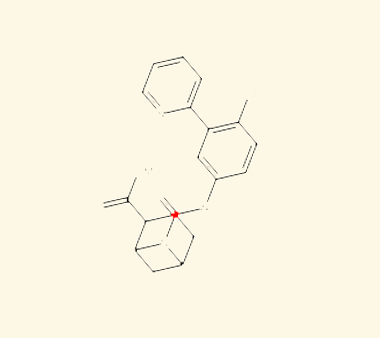 COC(=O)C1CCC2CC1N2C(=O)Nc1ccc(C)c(-c2ccccn2)c1